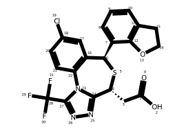 O=C(O)C[C@H]1S[C@H](c2cccc3c2OCC3)c2cc(Cl)ccc2-n2c1nnc2C(F)(F)F